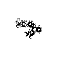 CC(C)n1nc(-c2c(-c3ccccc3)nn3ccc(N4CCN(C(=O)N(C)C)CC4)cc23)ccc1=O